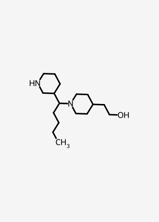 CCCCC(C1CCCNC1)N1CCC(CCO)CC1